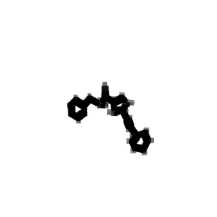 O=C(NCc1ccccc1)c1csc(C#Cc2ccccc2)n1